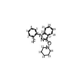 Fc1ccccc1-n1nc(ON2CCCCC2)c2ccccc21